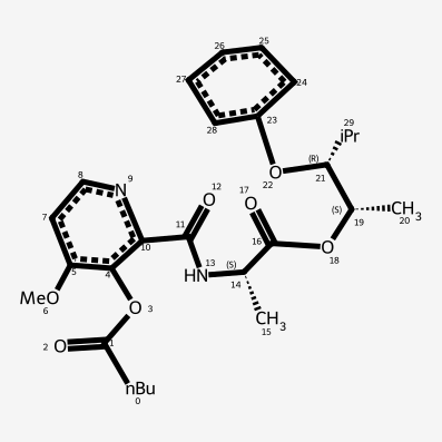 CCCCC(=O)Oc1c(OC)ccnc1C(=O)N[C@@H](C)C(=O)O[C@@H](C)[C@H](Oc1ccccc1)C(C)C